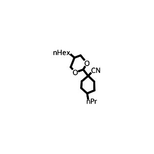 CCCCCCC1COC(C2(C#N)CCC(CCC)CC2)OC1